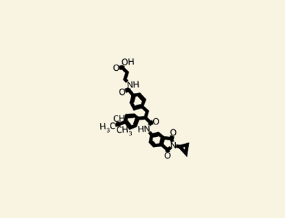 CC(C)(C)c1ccc(C(Cc2ccc(C(=O)NCCC(=O)O)cc2)C(=O)Nc2ccc3c(c2)C(=O)N(C2CC2)C3=O)cc1